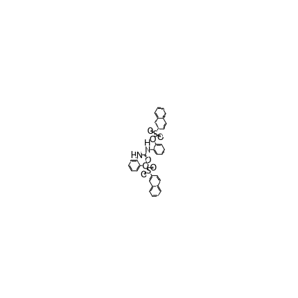 O=C(Nc1ccccc1OS(=O)(=O)c1ccc2ccccc2c1)Nc1ccccc1OS(=O)(=O)c1ccc2ccccc2c1